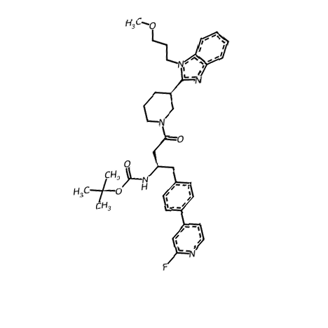 COCCCn1c([C@@H]2CCCN(C(=O)C[C@@H](Cc3ccc(-c4ccnc(F)c4)cc3)NC(=O)OC(C)(C)C)C2)nc2ccccc21